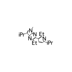 CCc1nc(C(C)C)ccc1-c1nc2c(nc1CC)c(C(C)C)cn2C